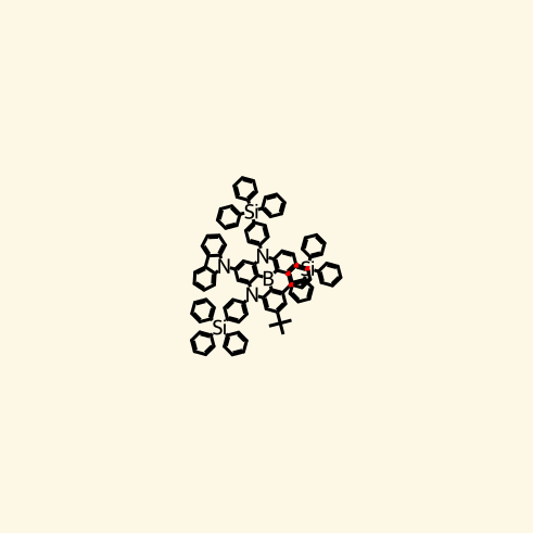 CC(C)(C)c1cc(-c2ccccc2)c2c(c1)N(c1ccc([Si](c3ccccc3)(c3ccccc3)c3ccccc3)cc1)c1cc(-n3c4ccccc4c4ccccc43)cc3c1B2c1cc([Si](c2ccccc2)(c2ccccc2)c2ccccc2)ccc1N3c1ccc([Si](c2ccccc2)(c2ccccc2)c2ccccc2)cc1